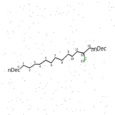 CCCCCCCCCCCCCCCCCCCCC[C](F)CCCCCCCCCCC